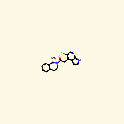 C[C@H]1c2ccccc2CCN1C(=O)Cc1c(Cl)cnc2[nH]ccc12